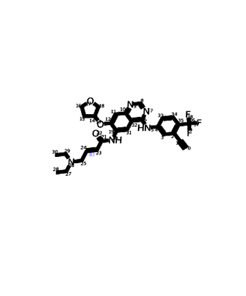 C#Cc1cc(Nc2ncnc3cc(OC4CCOC4)c(NC(=O)/C=C/CN(CC)CC)cc23)ccc1C(F)(F)F